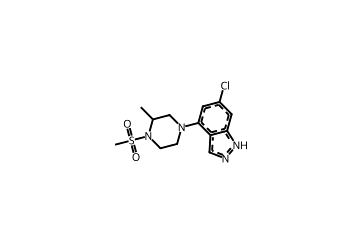 CC1CN(c2cc(Cl)cc3[nH]ncc23)CCN1S(C)(=O)=O